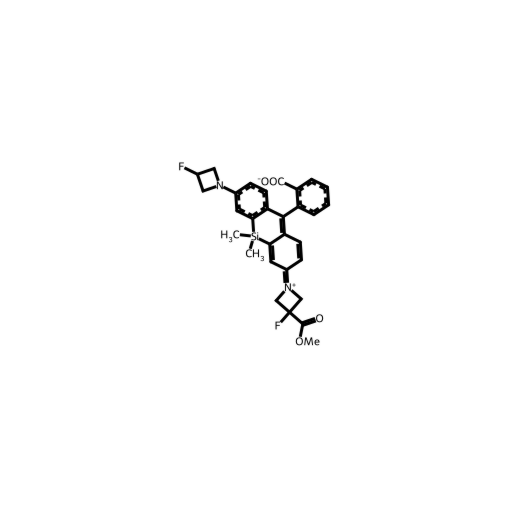 COC(=O)C1(F)C[N+](=C2C=CC3=C(c4ccccc4C(=O)[O-])c4ccc(N5CC(F)C5)cc4[Si](C)(C)C3=C2)C1